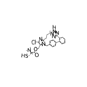 CCCCc1nc(Cl)c(COC(=O)[C@H](CS)N(C)C)n1Cc1ccc(-c2ccccc2-c2nn[nH]n2)cc1